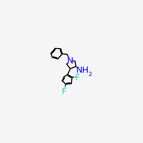 NC1CN(Cc2ccccc2)CC1c1ccc(F)cc1F